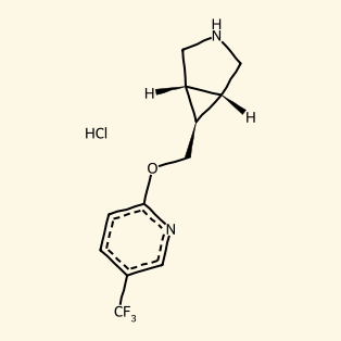 Cl.FC(F)(F)c1ccc(OC[C@H]2[C@@H]3CNC[C@@H]32)nc1